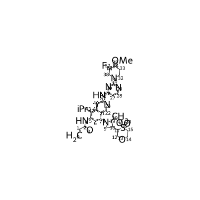 C=CC(=O)Nc1cc(N2CC(C3COCCS3(=O)=O)C2C)c2cnc(Nc3ccnc(N4CC[C@@H](OC)[C@@H](F)C4)n3)cc2c1C(C)C